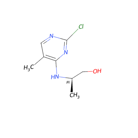 Cc1cnc(Cl)nc1N[C@H](C)CO